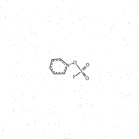 O=S(=O)(F)O[n+]1ccccc1